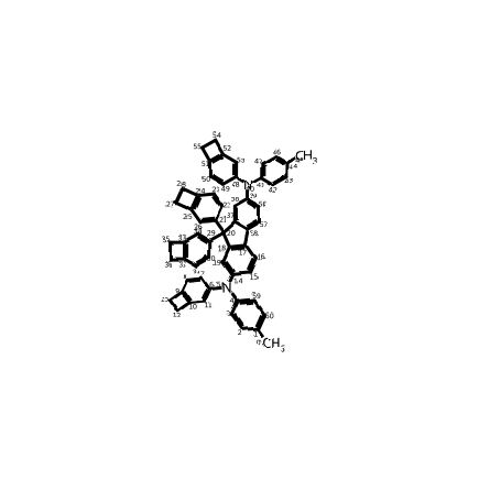 Cc1ccc(N(c2ccc3c(c2)CC3)c2ccc3c(c2)C(c2ccc4c(c2)CC4)(c2ccc4c(c2)CC4)c2cc(N(c4ccc(C)cc4)c4ccc5c(c4)CC5)ccc2-3)cc1